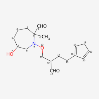 CC1(C=O)CCCC(O)CN1OCC(C=O)CCC1=CCC=C1